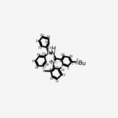 CCCCc1ccc(/C(=N\c2c(C)cccc2C)NP(c2ccccc2)c2ccccc2)cc1